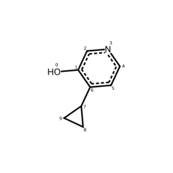 Oc1cnccc1C1CC1